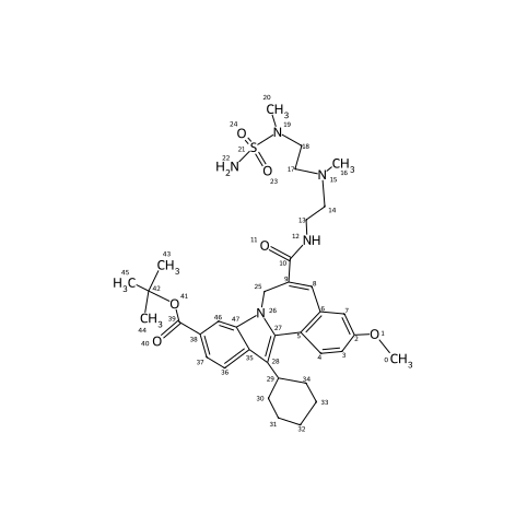 COc1ccc2c(c1)C=C(C(=O)NCCN(C)CCN(C)S(N)(=O)=O)Cn1c-2c(C2CCCCC2)c2ccc(C(=O)OC(C)(C)C)cc21